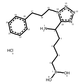 Cl.NC(CCCCB(O)O)c1nnnn1CCCc1ccccc1